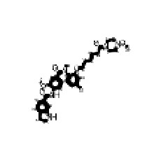 COc1cc(C(=O)N(C)c2ccc(C)cc2OCCCCCC(=O)N2CCN(OC)CC2)ccc1NC(=O)c1ccc2c(c1)NCC2